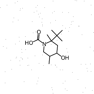 CC1CN(C(=O)O)C(C)(C(C)(C)C)CC1O